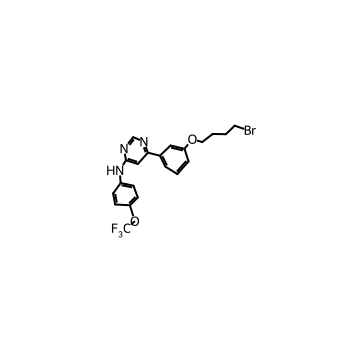 FC(F)(F)Oc1ccc(Nc2cc(-c3cccc(OCCCCBr)c3)ncn2)cc1